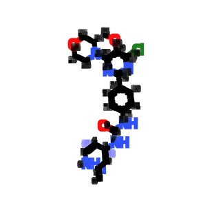 C=C/C=C(\C=C/N)NC(=O)Nc1ccc(-c2nc(Cl)c(OC)c(N3CCOCC3)n2)cc1